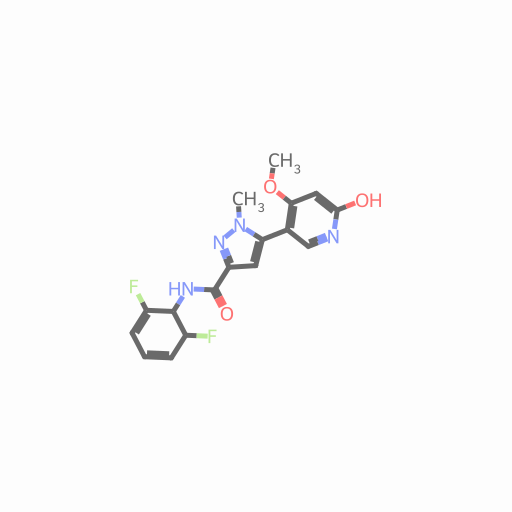 COc1cc(O)ncc1-c1cc(C(=O)NC2C(F)=CC=CC2F)nn1C